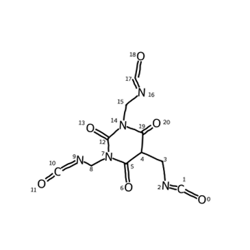 O=C=NCC1C(=O)N(CN=C=O)C(=O)N(CN=C=O)C1=O